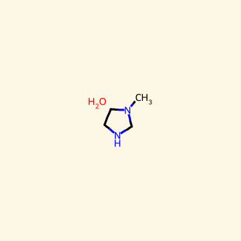 CN1CCNC1.O